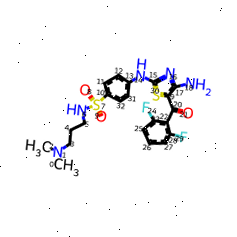 CN(C)CCCNS(=O)(=O)c1ccc(Nc2nc(N)c(C(=O)c3c(F)cccc3F)s2)cc1